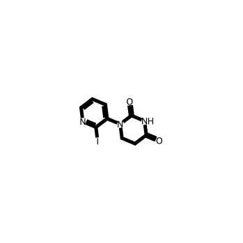 O=C1CCN(c2cccnc2I)C(=O)N1